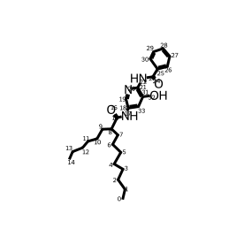 CCCCCCCCC(CCCCCC)C(=O)Nc1cnc(NC(=O)c2ccccc2)c(O)c1